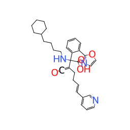 O=C=C(CCC=Cc1cccnc1)C(NCCCCC1CCCCC1)(C(=O)O)c1ccccc1-c1ncco1